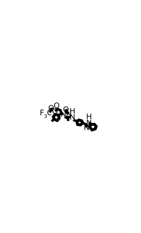 Cc1ccc(C(CC(=O)OC(=O)C(F)(F)F)n2cc(C)c(NCc3ccc(-c4nc5ccccc5[nH]4)cc3)nc2=O)cc1